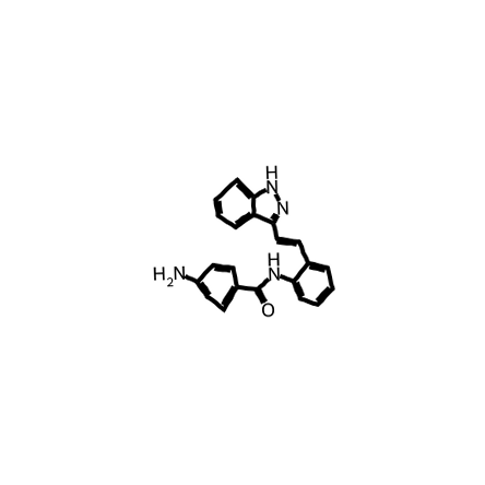 Nc1ccc(C(=O)Nc2ccccc2C=Cc2n[nH]c3ccccc23)cc1